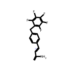 C=C(N)/C=C/c1ccc(Cc2c(F)c(F)c(F)c(F)c2F)cc1